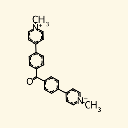 C[n+]1ccc(-c2ccc(C(=O)c3ccc(-c4cc[n+](C)cc4)cc3)cc2)cc1